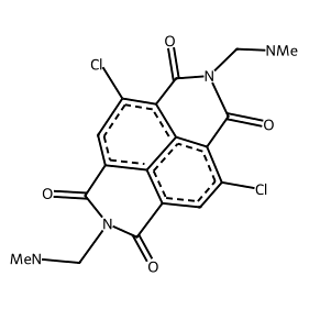 CNCN1C(=O)c2cc(Cl)c3c4c(c(Cl)cc(c24)C1=O)C(=O)N(CNC)C3=O